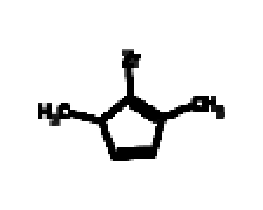 CC1=[C]([Zr])C(C)C=C1